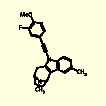 COc1ccc(C#Cn2c3c(c4cc(C)ccc42)C2CCC(C3)N2C)cc1F